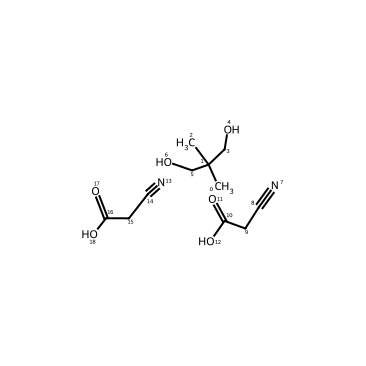 CC(C)(CO)CO.N#CCC(=O)O.N#CCC(=O)O